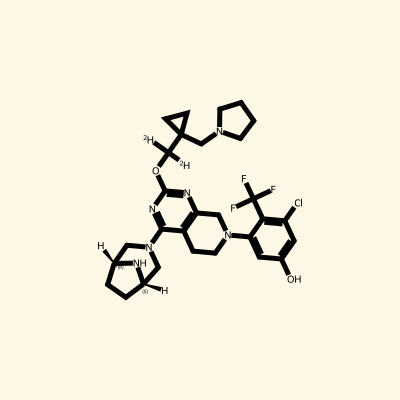 [2H]C([2H])(Oc1nc2c(c(N3C[C@H]4CC[C@@H](C3)N4)n1)CCN(c1cc(O)cc(Cl)c1C(F)(F)F)C2)C1(CN2CCCC2)CC1